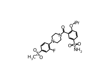 CC(C)Oc1ccc(S(N)(=O)=O)cc1C(=O)N1CCN(c2ccc(S(C)(=O)=O)cc2F)CC1